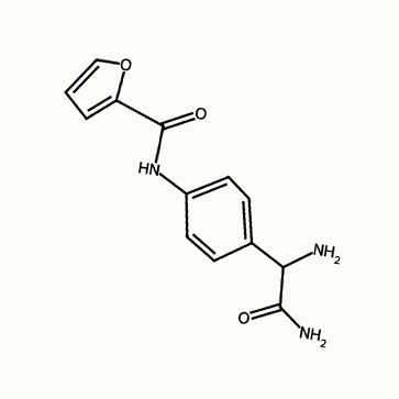 NC(=O)C(N)c1ccc(NC(=O)c2ccco2)cc1